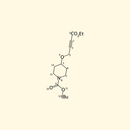 CCOC(=O)C#CCOC1CCN(C(=O)OC(C)(C)C)CC1